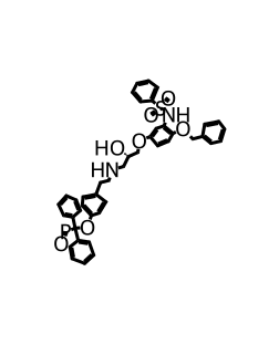 O=PC(Oc1ccc(CCNC[C@H](O)COc2ccc(OCc3ccccc3)c(NS(=O)(=O)c3ccccc3)c2)cc1)(c1ccccc1)c1ccccc1